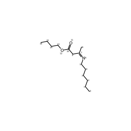 CCCCCCN=C(C)CC(=O)OCCCC